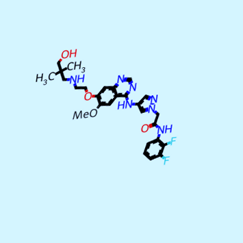 COc1cc2c(Nc3cnn(CC(=O)Nc4cccc(F)c4F)c3)ncnc2cc1OCCNCC(C)(C)CO